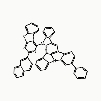 c1ccc(-c2ccc3c4cc5c6ccccc6n(-c6nc(-c7ccc8ccccc8c7)nc7sc8ccccc8c67)c5c5c6ccccc6n(c3c2)c45)cc1